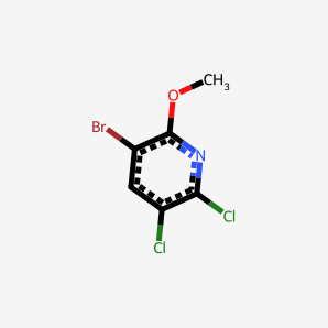 COc1nc(Cl)c(Cl)cc1Br